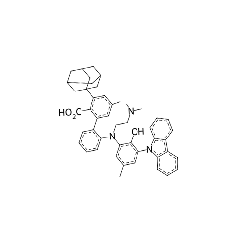 Cc1cc(N(CCN(C)C)c2ccccc2-c2cc(C)cc(C34CC5CC(CC(C5)C3)C4)c2C(=O)O)c(O)c(-n2c3ccccc3c3ccccc32)c1